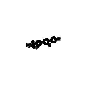 NS(=O)(=O)c1ccc(C2=CC(=S)C(c3ccc(Br)cc3)C=C2)cc1F